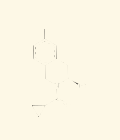 CC(C)[C@@H]1Cc2cc(F)ccc2CN1C(=O)C1CC1